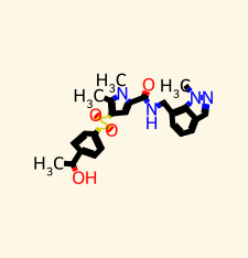 Cc1c(S(=O)(=O)c2ccc(C(C)O)cc2)cc(C(=O)NCc2cccc3cnn(C)c23)n1C